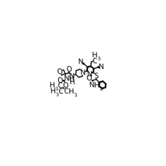 CCc1c(C#N)c(SC(C(N)=O)c2ccccc2)nc(N2CCC(NC(=O)C3(NC(=O)OC(C)(C)C)COC3)CC2)c1C#N